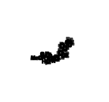 COC(=O)N[C@H](C(=O)N1CCC[C@H]1c1nc2ccc(-c3ccc(-c4ccc(B5OC(C)(C)C(C)(C)O5)c5ccccc45)c4c3CC3CCC43)cc2[nH]1)C(C)C